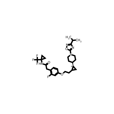 CC(C)c1noc(N2CCC([C@H]3CC3CCOc3ccc(CC(=O)NC4(C(F)(F)F)CC4)c(F)c3)CC2)n1